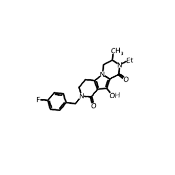 CCN1C(=O)c2c(O)c3c(n2CC1C)CCN(Cc1ccc(F)cc1)C3=O